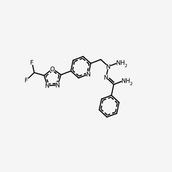 N/C(=N\N(N)Cc1ccc(-c2nnc(C(F)F)o2)cn1)c1ccccc1